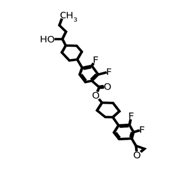 CCCC(O)C1CCC(c2ccc(C(=O)OC3CCC(c4ccc(C5CO5)c(F)c4F)CC3)c(F)c2F)CC1